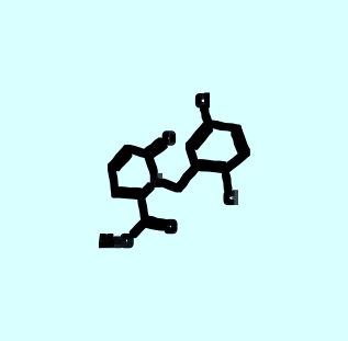 COC(=O)c1cccc(=O)n1Cc1cc(Cl)ccc1Cl